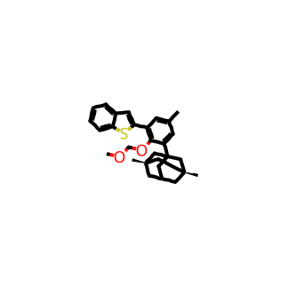 COCOc1c(-c2cc3ccccc3s2)cc(C)cc1C12CC3C[C@@](C)(C1)C[C@](C)(C3)C2